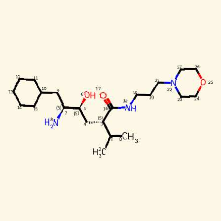 CC(C)[C@H](C[C@H](O)[C@@H](N)CC1CCCCC1)C(=O)NCCCN1CCOCC1